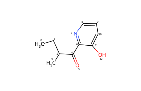 CCC(C)C(=O)c1ncccc1O